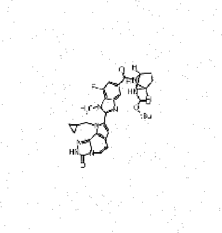 Cn1c(-c2cc3ccn4c(=O)[nH]nc4c3n2CC2CC2)nc2cc(C(=O)N3C[C@H]4CC[C@@H]3[C@@H]4NC(=O)OC(C)(C)C)cc(F)c21